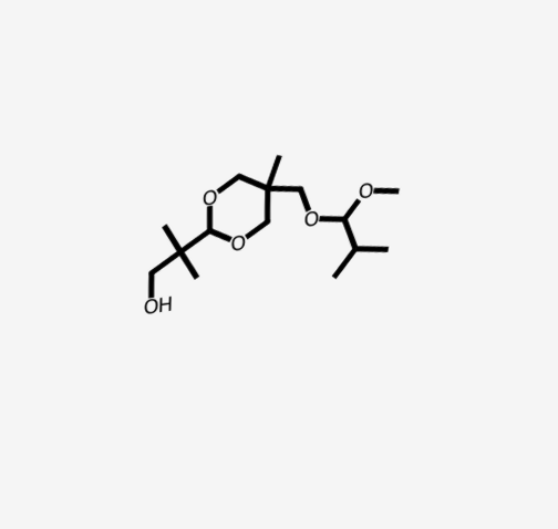 COC(OCC1(C)COC(C(C)(C)CO)OC1)C(C)C